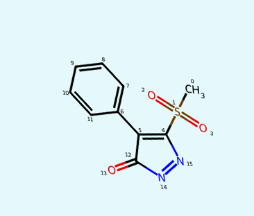 CS(=O)(=O)C1=C(c2ccccc2)C(=O)N=N1